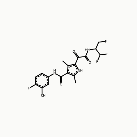 Cc1[nH]c(C(=O)C(=O)NC(CF)C(F)F)c(C)c1C(=O)Nc1ccc(F)c(C#N)c1